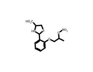 CC(COc1ccccc1C1NC(C(=O)O)CS1)O[N+](=O)[O-]